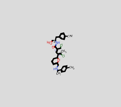 C/C(Cl)=C(\C=C(/CCl)C(=O)N[C@@H](CO)Cc1ccc(C#N)cc1)C1CCC=C(CNC(C)c2ccc(C)cc2)O1